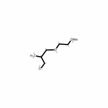 COCCOCC(C)CCl